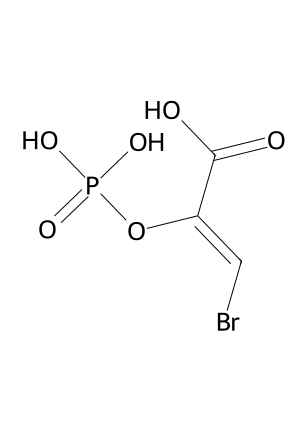 O=C(O)C(=CBr)OP(=O)(O)O